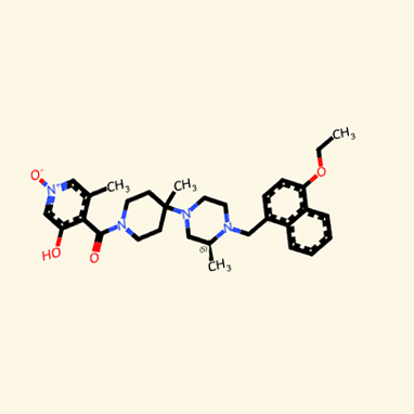 CCOc1ccc(CN2CCN(C3(C)CCN(C(=O)c4c(C)c[n+]([O-])cc4O)CC3)C[C@@H]2C)c2ccccc12